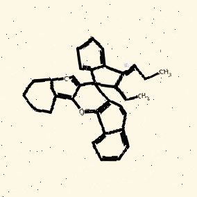 CC/C=C1/C2=CCCC=C2C2(C3=CCC4CCCCC4=C3Oc3c2ccc2ccccc32)C1CC